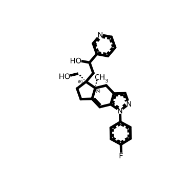 C[C@]12Cc3cnn(-c4ccc(F)cc4)c3C=C1CC[C@@]2(CO)CC(O)c1cccnc1